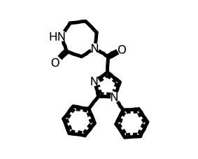 O=C1CN(C(=O)c2cn(-c3ccccc3)c(-c3ccccc3)n2)CCCN1